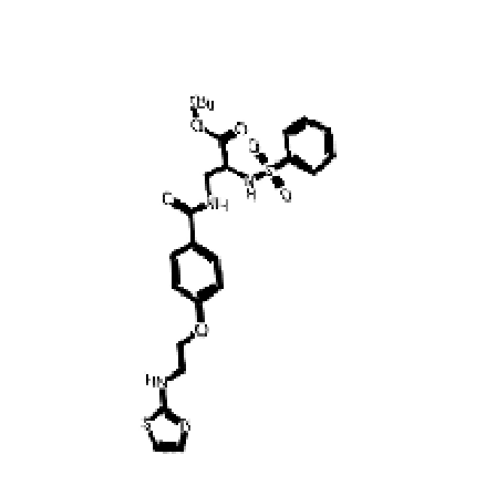 CC(C)(C)OC(=O)C(CNC(=O)c1ccc(OCCNc2nccs2)cc1)NS(=O)(=O)c1ccccc1